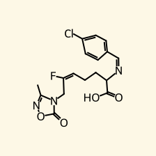 Cc1noc(=O)n1C/C(F)=C\CCC(/N=C\c1ccc(Cl)cc1)C(=O)O